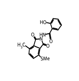 CSc1ccc(C)c2c1C(=O)N(NC(=O)c1ccccc1O)C2=O